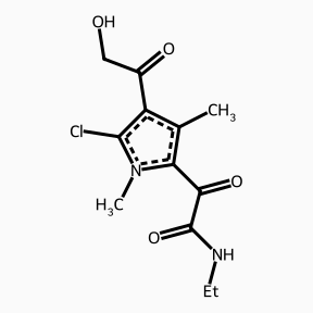 CCNC(=O)C(=O)c1c(C)c(C(=O)CO)c(Cl)n1C